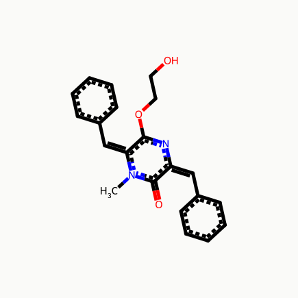 Cn1c(=Cc2ccccc2)c(OCCO)nc(=Cc2ccccc2)c1=O